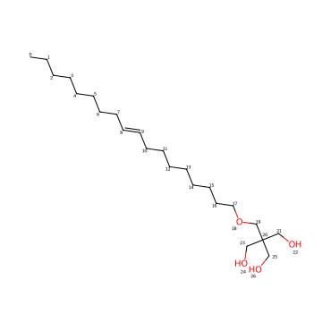 CCCCCCCCC=CCCCCCCCCOCC(CO)(CO)CO